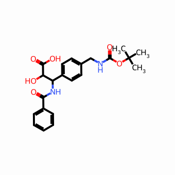 CC(C)(C)OC(=O)NCc1ccc(C(NC(=O)c2ccccc2)C(O)C(=O)O)cc1